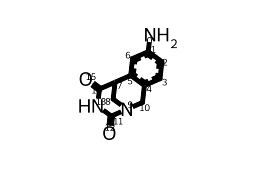 Nc1ccc2c(c1)C1CN(C2)C(=O)NC1=O